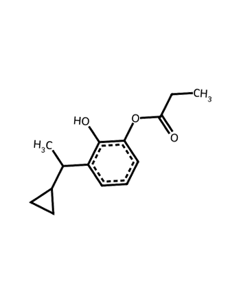 CCC(=O)Oc1cccc(C(C)C2CC2)c1O